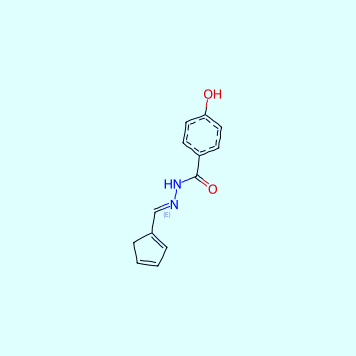 O=C(N/N=C/C1=CC=CC1)c1ccc(O)cc1